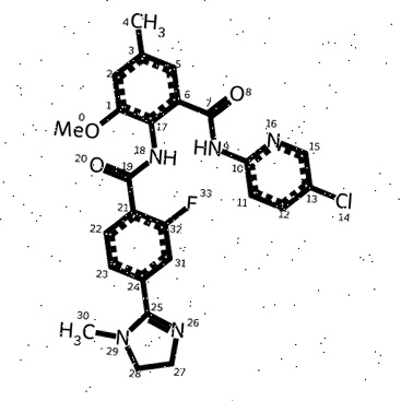 COc1cc(C)cc(C(=O)Nc2ccc(Cl)cn2)c1NC(=O)c1ccc(C2=NCCN2C)cc1F